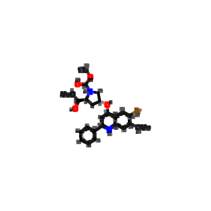 COC(=O)[C@@H]1C[C@@H](Oc2cc(-c3ccccc3)nc3cc(OC)c(Br)cc23)CN1C(=O)OC(C)(C)C